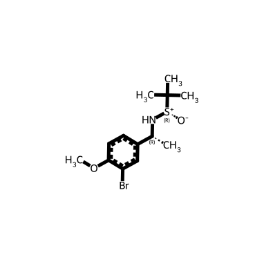 COc1ccc([C@@H](C)N[S@@+]([O-])C(C)(C)C)cc1Br